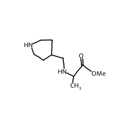 COC(=O)C(C)NCC1CCNCC1